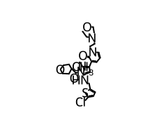 CC1(C(=O)n2nc(-c3cccn(CCN4CCOCC4)c3=O)cc2NCc2ccc(Cl)s2)CCOCC1